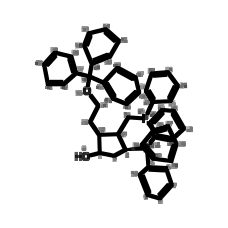 OC1C[C@H](P(c2ccccc2)c2ccccc2)C(CP(c2ccccc2)c2ccccc2)C1CCOC(c1ccccc1)(c1ccccc1)c1ccccc1